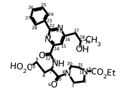 CCOC(=O)N1CCN(C(=O)C(CCC(=O)O)NC(=O)c2cc(C[C@H](C)O)nc(-c3ccccc3)n2)CC1